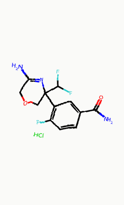 Cl.NC(=O)c1ccc(F)c(C2(C(F)F)COCC(N)=N2)c1